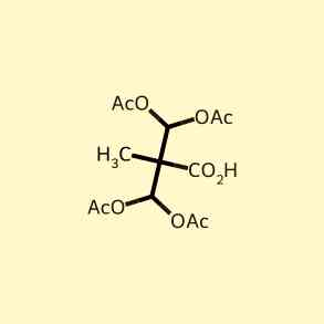 CC(=O)OC(OC(C)=O)C(C)(C(=O)O)C(OC(C)=O)OC(C)=O